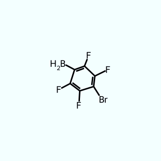 Bc1c(F)c(F)c(Br)c(F)c1F